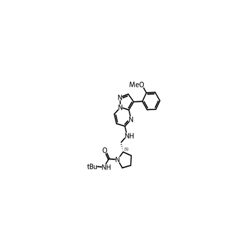 COc1ccccc1-c1cnn2ccc(NC[C@@H]3CCCN3C(=O)NC(C)(C)C)nc12